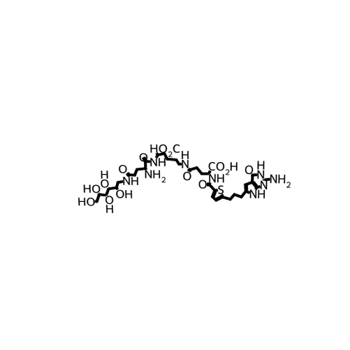 Nc1nc2[nH]c(CCCc3ccc(C(=O)NC(CCC(=O)NCCCCC(NC(=O)C(N)CCC(=O)NCC(O)C(O)C(O)C(O)CO)C(=O)O)C(=O)O)s3)cc2c(=O)[nH]1